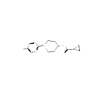 O=C(OC1CCN(c2ncc(C(F)(F)F)cn2)CC1)C1CC1